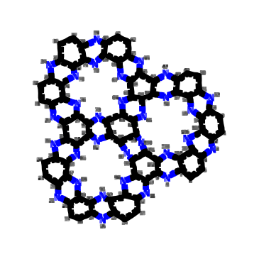 c1cc2nc3ccc4nc5c6nc7ccc8nc9ccc%10nc%11ccc%12nc%13c%14nc%15ccc%16nc%17ccc%18nc%19ccc%20nc%21c%22nc%23ccc%24nc1c1nc%24c%23nc%22c%22nc%23c%24nc%22c%21nc%20c%19nc%18c%17nc%16c%15nc%14c%14nc%24c%15nc%14c%13nc%12c%11nc%10c9nc8c7nc6c6nc%15c%23nc6c5nc4c3nc21